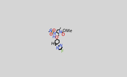 COC(=O)N1[C@H](C)C[C@H](NS(=O)(=O)N(C)C)[C@@H]1CO[C@H]1CC[C@@]2(c3ncc(F)cn3)C[C@H]2C1